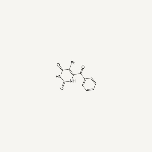 CCc1c(C(=O)c2ccccc2)[nH]c(=O)[nH]c1=O